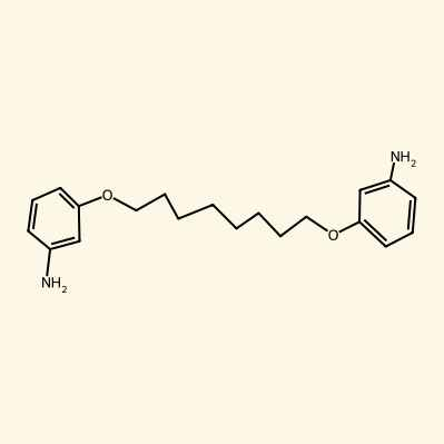 Nc1cccc(OCCCCCCCCOc2cccc(N)c2)c1